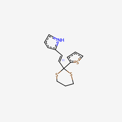 C(=C\C1(c2cccs2)SCCCS1)/c1ccc[nH]1